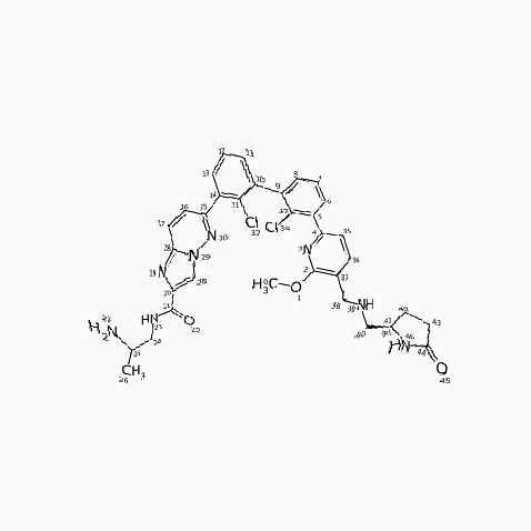 COc1nc(-c2cccc(-c3cccc(-c4ccc5nc(C(=O)NCC(C)N)cn5n4)c3Cl)c2Cl)ccc1CNC[C@H]1CCC(=O)N1